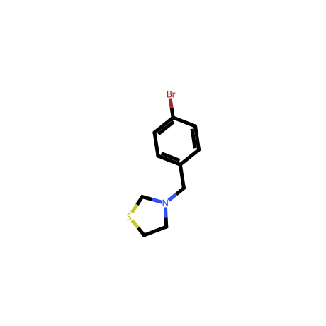 Brc1ccc(CN2CCSC2)cc1